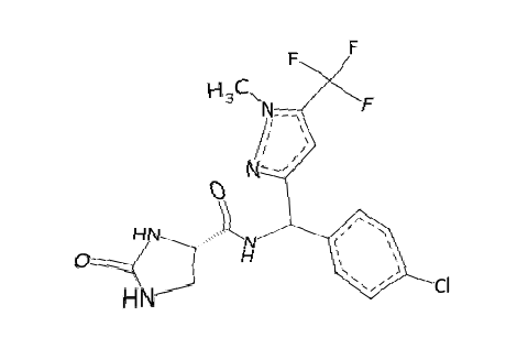 Cn1nc(C(NC(=O)[C@@H]2CNC(=O)N2)c2ccc(Cl)cc2)cc1C(F)(F)F